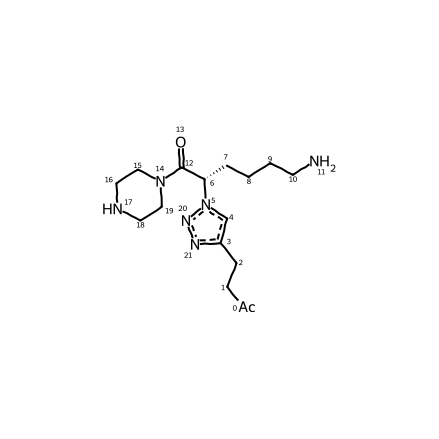 CC(=O)CCc1cn([C@@H](CCCCN)C(=O)N2CCNCC2)nn1